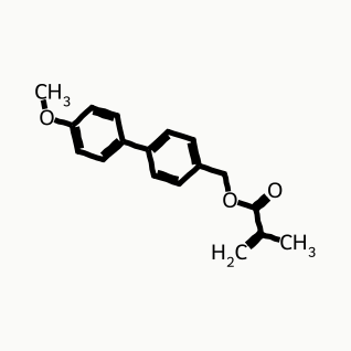 C=C(C)C(=O)OCc1ccc(-c2ccc(OC)cc2)cc1